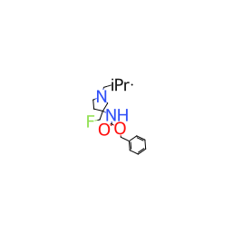 C[C](C)CN1CCC(CF)(NC(=O)OCc2ccccc2)C1